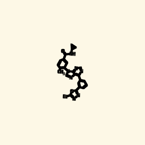 CCc1nnc(-c2cccc(-c3ncnc4c3ncn4-c3cc(C(=O)NC4CC4)ccc3C)c2)o1